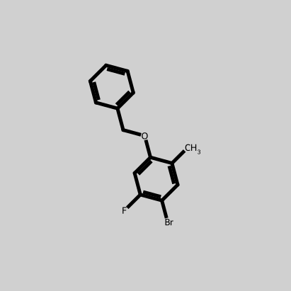 Cc1cc(Br)c(F)cc1OCc1ccccc1